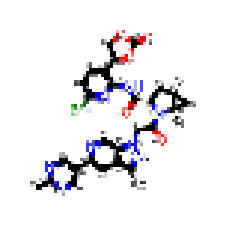 CC(=O)c1nn(CC(=O)N2[C@H](C(=O)Nc3nc(Br)ccc3C3COC(=O)O3)C[C@@]3(C)C[C@@H]23)c2cnc(-c3cnc(C)nc3)cc12